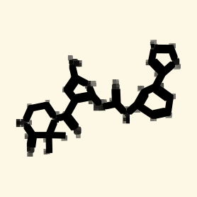 CC(C)(C)c1cc(C(=O)N2CCNC(=O)C2(C)C)c(NC(=O)Nc2cccc(-c3cnco3)c2)s1